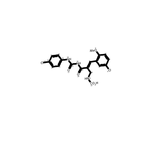 COc1ccc(Cl)cc1/C=C(\CNC(=O)O)C(=O)NC(=O)Nc1ccc(Cl)cc1